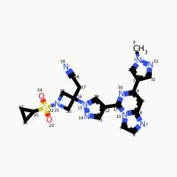 Cn1cc(-c2cc3nccn3c(-c3cnn(C4(CC#N)CN(S(=O)(=O)C5CC5)C4)c3)n2)cn1